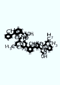 Cc1ccccc1-c1cccc([C@H](CC(=O)O)NC(=O)C(CC(C)C)N2CCC(c3cccc(-c4cc([C@H](CC(=O)O)NC(=O)C(CC(C)C)n5ccccc5=O)ccn4)c3C)CC2=O)c1